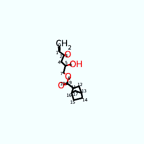 C=CC(=O)CC(O)COC(=O)C1CC2CCC1C2